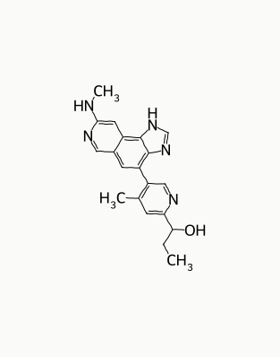 CCC(O)c1cc(C)c(-c2cc3cnc(NC)cc3c3[nH]cnc23)cn1